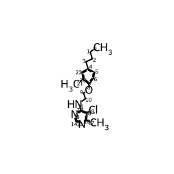 CCCCc1ccc(OCCNc2ncnc(C)c2Cl)c(C)c1